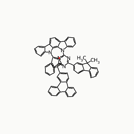 CC1(C)c2ccccc2-c2ccc(-c3nc(-c4ccccc4)nc(-n4c5ccccc5c5ccc6c7ccccc7n(-c7ccc(-c8ccc9c%10ccccc%10c%10ccccc%10c9c8)cc7)c6c54)n3)cc21